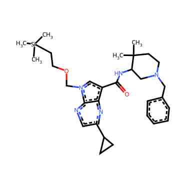 CC1(C)CCN(Cc2ccccc2)CC1NC(=O)c1cn(COCC[Si](C)(C)C)c2ncc(C3CC3)nc12